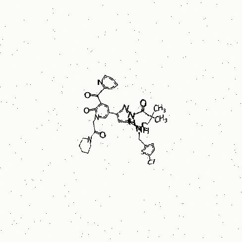 CC(C)(C)C(=O)n1nc(-c2cc(C(=O)c3ccccn3)c(=O)n(CC(=O)N3CCCCC3)c2)cc1NCc1ccc(Cl)s1